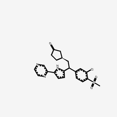 CS(=O)(=O)c1ccc(C(C[C@H]2CCC(=O)C2)c2ccc(-c3cnccn3)[nH]2)cc1Cl